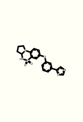 O=S1(=O)NC2CCCN2c2ccc(Oc3cccc(-c4cnco4)c3)cc21